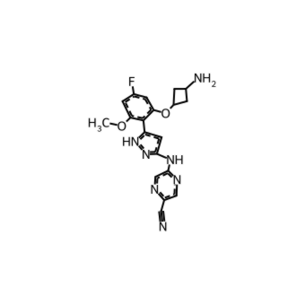 COc1cc(F)cc(OC2CC(N)C2)c1-c1cc(Nc2cnc(C#N)cn2)n[nH]1